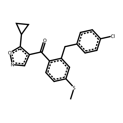 CSc1ccc(C(=O)c2cnoc2C2CC2)c(Cc2ccc(Cl)cc2)c1